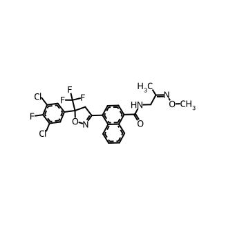 CO/N=C(/C)CNC(=O)c1ccc(C2=NOC(c3cc(Cl)c(F)c(Cl)c3)(C(F)(F)F)C2)c2ccccc12